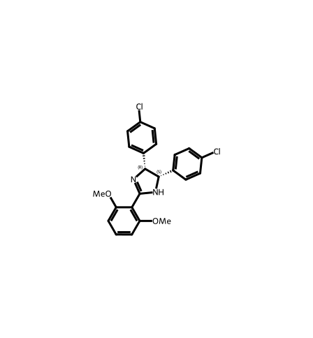 COc1cccc(OC)c1C1=N[C@H](c2ccc(Cl)cc2)[C@H](c2ccc(Cl)cc2)N1